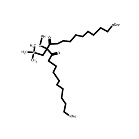 CCCCCCCCCCCCCCCCCCCC(=O)C(C[N+](C)(C)C)(O[PH-])C(=O)CCCCCCCCCCCCCCCCCCC